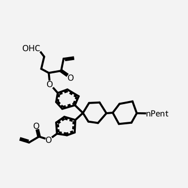 C=CC(=O)Oc1ccc(C2(c3ccc(OC(CCC=O)C(=O)C=C)cc3)CCC(C3CCC(CCCCC)CC3)CC2)cc1